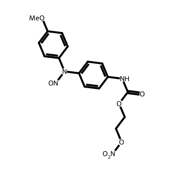 COc1ccc(N(N=O)c2ccc(NC(=O)OCCO[N+](=O)[O-])cc2)cc1